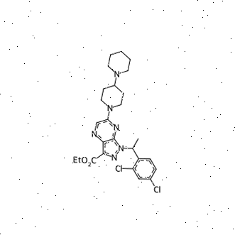 CCOC(=O)c1nn(C(C)c2ccc(Cl)cc2Cl)c2nc(N3CCC(N4CCCCC4)CC3)cnc12